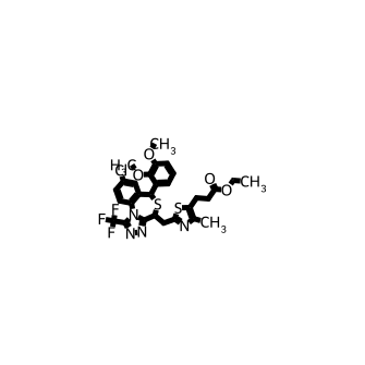 CCOC(=O)CCc1sc(CC2SC(c3cccc(OC)c3OC)c3cc(Cl)ccc3-n3c2nnc3C(F)(F)F)nc1C